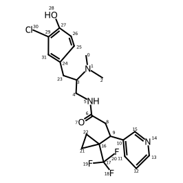 CN(C)C(CNC(=O)CC(c1cccnc1)C1(C(F)(F)F)CC1)Cc1ccc(O)c(Cl)c1